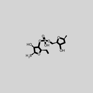 B[C@@H]1O[C@H](CC)C(OP(=O)(O)OC[C@H]2O[C@@H](C)CC2O)[C@@H]1O